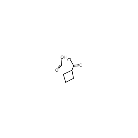 O=C(Cl)C1CCC1.O=CO